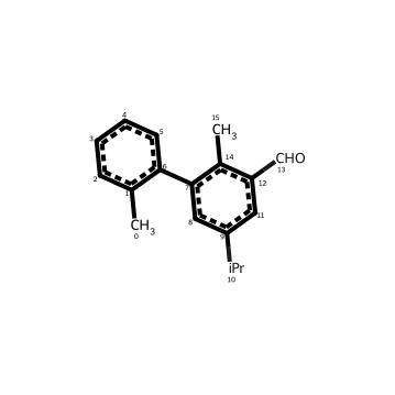 Cc1ccccc1-c1cc(C(C)C)cc(C=O)c1C